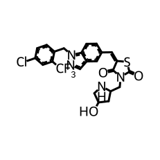 O=C1SC(=Cc2ccc3c(cnn3Cc3ccc(Cl)cc3C(F)(F)F)c2)C(=O)N1CC1CC(O)CN1